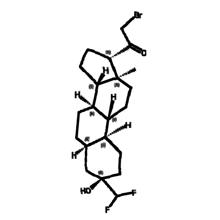 C[C@]12CC[C@H]3[C@@H](CC[C@@H]4C[C@@](O)(C(F)F)CC[C@@H]43)[C@@H]1CC[C@@H]2C(=O)CBr